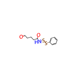 O=CCCCC(=O)NSSc1ccccc1